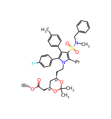 Cc1ccc(-c2c(S(=O)(=O)N(C)Cc3ccccc3)c(C(C)C)n(CC[C@@H]3C[C@H](CC(=O)OC(C)(C)C)OC(C)(C)O3)c2-c2ccc(F)cc2)cc1